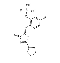 O=C1N=C(N2CCCC2)S/C1=C\c1ccc(F)cc1OP(=O)(O)O